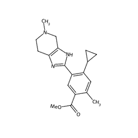 COC(=O)c1cc(-c2nc3c([nH]2)CN(C)CC3)c(C2CC2)cc1C